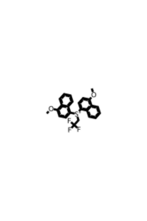 COc1ccc([S+](CC(F)(F)F)c2ccc(OC)c3ccccc23)c2ccccc12